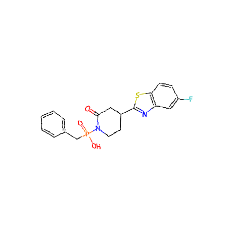 O=C1CC(c2nc3cc(F)ccc3s2)CCN1P(=O)(O)Cc1ccccc1